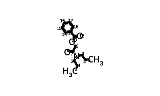 CCCN(CCC)C(=O)COC(=O)c1[c]cccc1